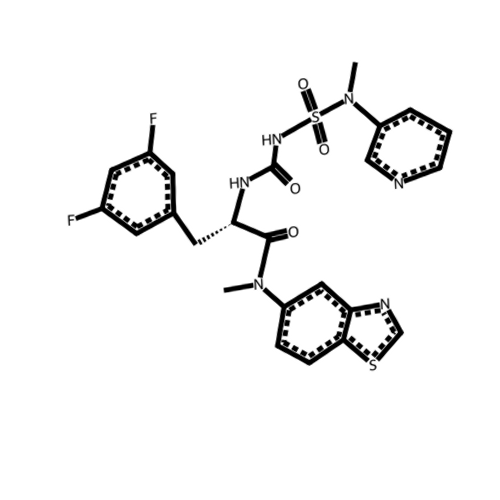 CN(C(=O)[C@H](Cc1cc(F)cc(F)c1)NC(=O)NS(=O)(=O)N(C)c1cccnc1)c1ccc2scnc2c1